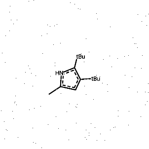 Cc1cc(C(C)(C)C)c(C(C)(C)C)[nH]1